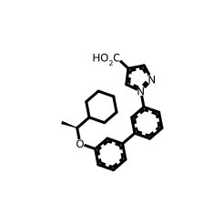 C[C@H](Oc1cccc(-c2cccc(-n3cc(C(=O)O)cn3)c2)c1)C1CCCCC1